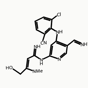 CN/C(=C\C(=N)Nc1cc(Nc2c(Cl)cccc2C#N)c(C=N)cn1)CO